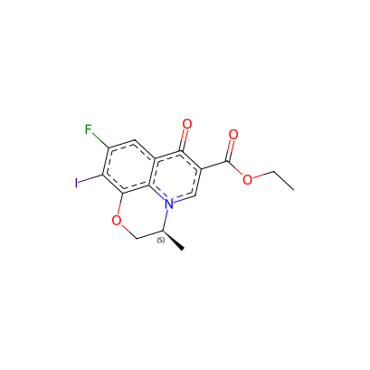 CCOC(=O)c1cn2c3c(c(I)c(F)cc3c1=O)OC[C@@H]2C